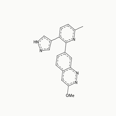 COc1cc2ccc(-c3nc(C)ccc3-c3cn[nH]c3)cc2nn1